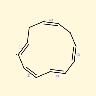 [C]1=C\C/C=C\C\C=C/C=C/C=C\1